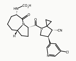 N#C[C@@H]1[C@@H](c2cncc(Cl)c2)CN(C(=O)[C@@H]2CC[C@@H]3CCC[C@H](NC(=O)O)C(=O)N32)C12CC2